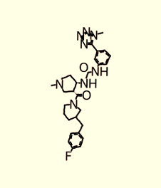 CN1CC[C@@H](NC(=O)Nc2cccc(-c3nnnn3C)c2)[C@H](C(=O)N2CCCC(Cc3ccc(F)cc3)C2)C1